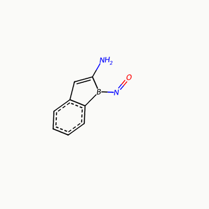 NC1=Cc2ccccc2B1N=O